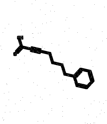 O=C(O)C#CCCCCc1ccccc1